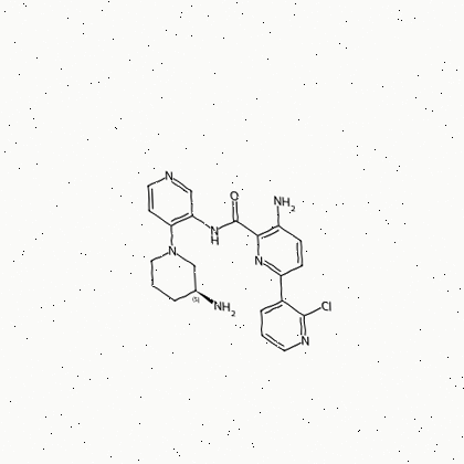 Nc1ccc(-c2cccnc2Cl)nc1C(=O)Nc1cnccc1N1CCC[C@H](N)C1